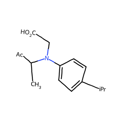 CC(=O)C(C)N(CC(=O)O)c1ccc(C(C)C)cc1